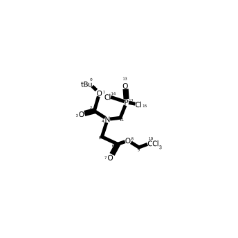 CC(C)(C)OC(=O)N(CC(=O)OCC(Cl)(Cl)Cl)CP(=O)(Cl)Cl